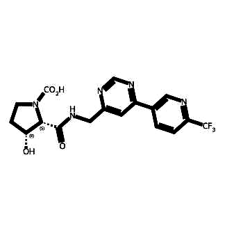 O=C(NCc1cc(-c2ccc(C(F)(F)F)nc2)ncn1)[C@@H]1[C@H](O)CCN1C(=O)O